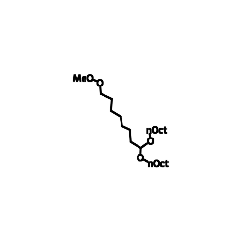 CCCCCCCCOC(CCCCCCCOOC)OCCCCCCCC